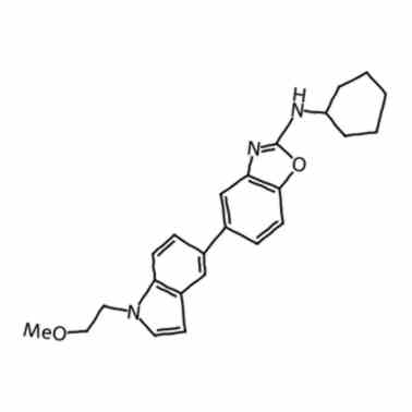 COCCn1ccc2cc(-c3ccc4oc(NC5CCCCC5)nc4c3)ccc21